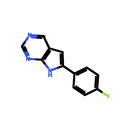 Fc1ccc(-c2cc3[c]ncnc3[nH]2)cc1